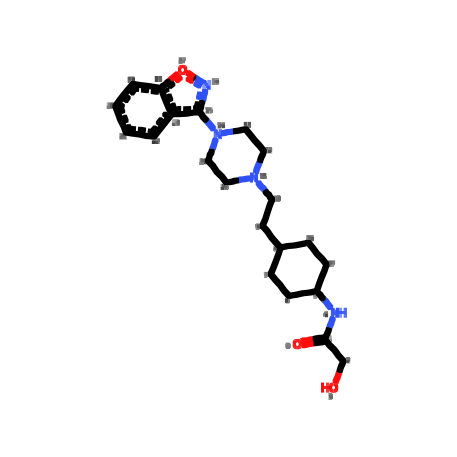 O=C(CO)NC1CCC(CCN2CCN(c3noc4ccccc34)CC2)CC1